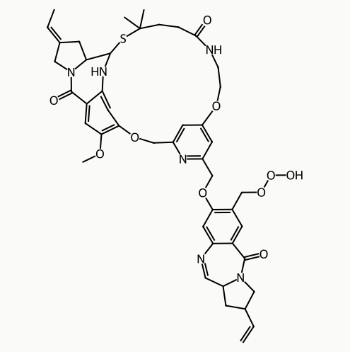 C=CC1CC2C=Nc3cc(OCc4cc5cc(n4)COc4cc6c(cc4OC)C(=O)N4C/C(=C/C)CC4C(N6)SC(C)(C)CCC(=O)NCCO5)c(COOO)cc3C(=O)N2C1